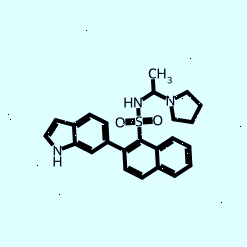 CC(NS(=O)(=O)c1c(-c2ccc3cc[nH]c3c2)ccc2ccccc12)N1CCCC1